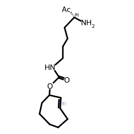 CC(=O)[C@H](N)CCCCNC(=O)OC1/C=C/CCCCC1